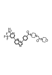 Nc1ncc(-c2ccc3ncc(-c4ccc(C(=O)N5CCN(CC(=O)N6CCOCC6)CC5)cc4)n3n2)cc1C(F)(F)F